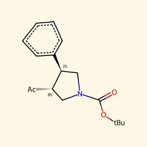 CC(=O)[C@H]1CN(C(=O)OC(C)(C)C)C[C@@H]1c1ccccc1